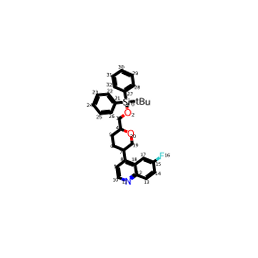 CC(C)(C)[Si](OCC1CCC(c2ccnc3ccc(F)cc23)CO1)(c1ccccc1)c1ccccc1